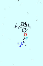 CC(C)(C)c1ccc(OC/C(F)=C/CN)cc1